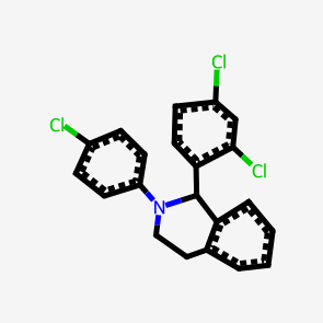 Clc1ccc(N2CCc3ccccc3C2c2ccc(Cl)cc2Cl)cc1